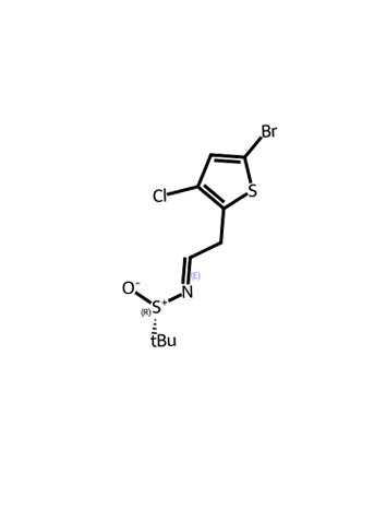 CC(C)(C)[S@+]([O-])/N=C/Cc1sc(Br)cc1Cl